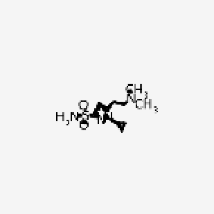 CN(C)CCc1cc(S(N)(=O)=O)nn1C1CC1